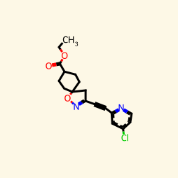 CCOC(=O)C1CCC2(CC1)CC(C#Cc1cc(Cl)ccn1)=NO2